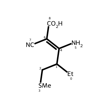 CCC(CSC)/C(N)=C(\C#N)C(=O)O